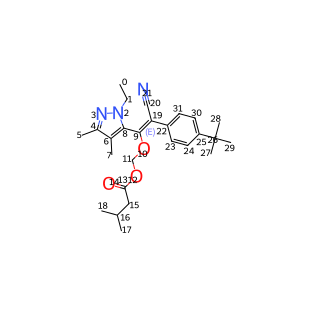 CCn1nc(C)c(C)c1/C(OCOC(=O)CC(C)C)=C(\C#N)c1ccc(C(C)(C)C)cc1